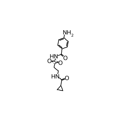 Nc1ccc(C(=O)NS(=O)(=O)CCNC(=O)C2CC2)cc1